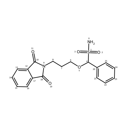 NS(=O)(=O)C(OCCCN1C(=O)c2ccccc2C1=O)c1ccccc1